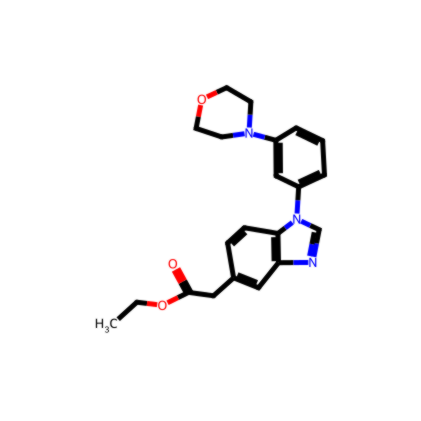 CCOC(=O)Cc1ccc2c(c1)ncn2-c1cccc(N2CCOCC2)c1